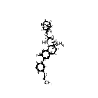 CCOc1cccc(-c2cc3c(cc2F)[C@H](NC(=O)O[C@@H]2CN4CCC2CC4)C(C)(C)CC3)c1